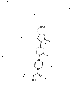 CC(=O)NC[C@H]1CN(c2ccc(N3C=NN(C(=O)CO)CC3)c(F)c2)C(=O)O1